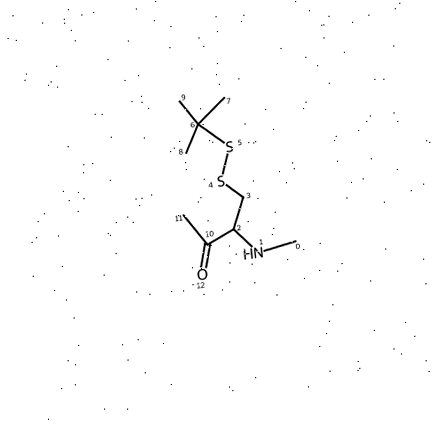 CNC(CSSC(C)(C)C)C(C)=O